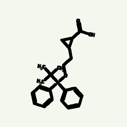 CC(C)(C)[Si](OCCC1CC1C(=O)O)(c1ccccc1)c1ccccc1